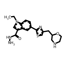 CCn1cc(C(=O)NN)c2cc(-c3nc(CC4CNCCO4)cs3)ccc21